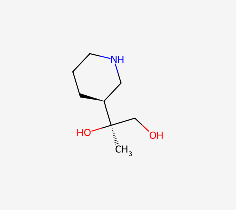 C[C@@](O)(CO)[C@H]1CCCNC1